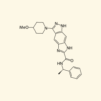 COC1CCN(c2n[nH]c3cc4[nH]c(C(=O)N[C@H](C)c5ccccc5)nc4cc23)CC1